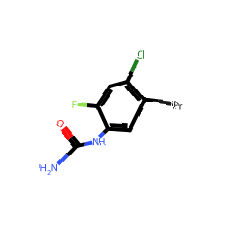 CC(C)c1cc(NC(N)=O)c(F)cc1Cl